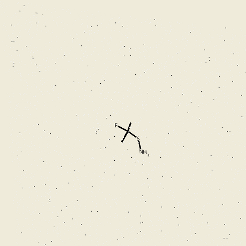 CC(C)(F)SN